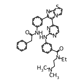 CCN(CCN(C)C)C(=O)c1cccc(Nc2nccc(-c3c(-c4cccc(NC(=O)Cc5ccccc5)c4)nc4sccn34)n2)c1